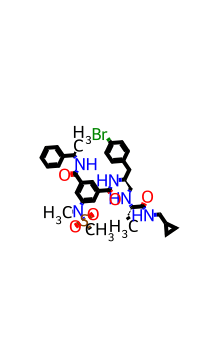 CC[C@H](NC[C@H](Cc1ccc(Br)cc1)NC(=O)c1cc(C(=O)N[C@H](C)c2ccccc2)cc(N(C)S(C)(=O)=O)c1)C(=O)NCC1CC1